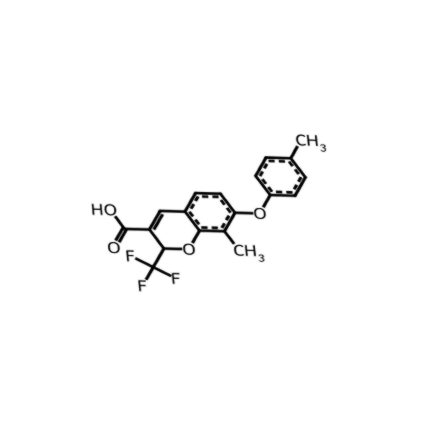 Cc1ccc(Oc2ccc3c(c2C)OC(C(F)(F)F)C(C(=O)O)=C3)cc1